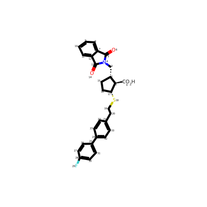 O=C(O)[C@@H]1[C@@H](CN2C(=O)c3ccccc3C2=O)CC[C@H]1SCCc1ccc(-c2ccc(F)cc2)cc1